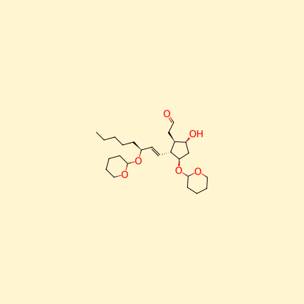 CCCCC[C@@H](C=C[C@@H]1[C@@H](CC=O)[C@@H](O)C[C@H]1OC1CCCCO1)OC1CCCCO1